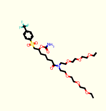 CCOCCOCCOCCN(CCOCCOCCOCC)C(=O)CCCCC(CS(=O)(=O)c1ccc(C(F)(F)F)cc1)OC(N)=O